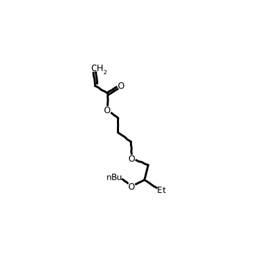 [CH2]CC(COCCCOC(=O)C=C)OCCCC